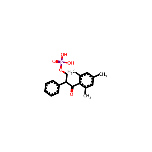 Cc1cc(C)c(C(=O)C(COP(=O)(O)O)c2ccccc2)c(C)c1